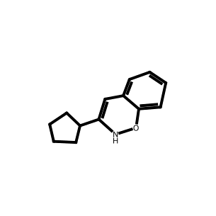 C1=C(C2CCCC2)NOc2ccccc21